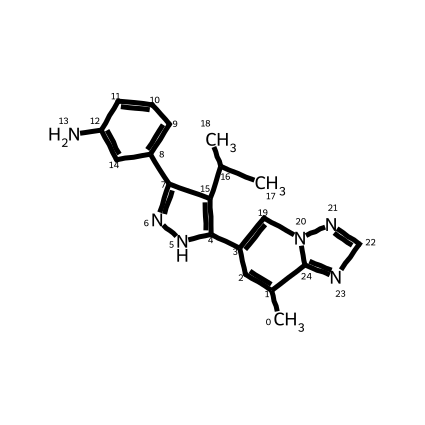 Cc1cc(-c2[nH]nc(-c3cccc(N)c3)c2C(C)C)cn2ncnc12